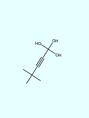 CC(C)(C)C#CC(O)(O)O